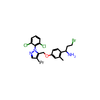 Cc1cc(OCc2c(C(C)C)cnn2-c2c(Cl)cccc2Cl)ccc1C(N)CCBr